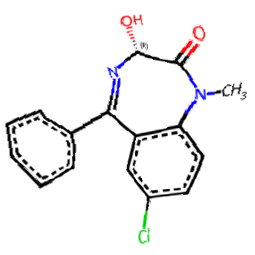 CN1C(=O)[C@@H](O)N=C(c2ccccc2)c2cc(Cl)ccc21